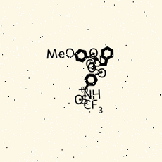 COc1ccc(S(=O)(=O)n2c(S(=O)(=O)c3ccc([C@H](C)N[S+]([O-])C(F)(F)F)cc3)cc3ccccc32)cc1